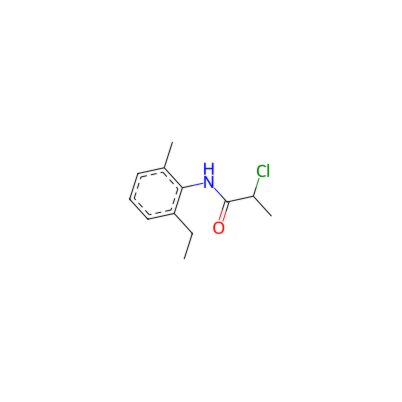 CCc1cccc(C)c1NC(=O)C(C)Cl